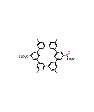 CCOC(=O)c1cc(-c2cccc(C)c2)cc(-c2cc(C)cc(-c3cc(C)cc(-c4cc(C(=O)OC)cc(-c5cccc(C)c5)c4)c3)c2)c1